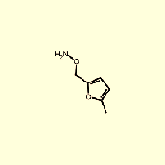 Cc1ccc(CON)o1